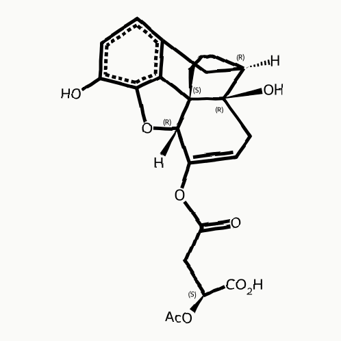 CC(=O)O[C@@H](CC(=O)OC1=CC[C@@]2(O)[C@@H]3CCC[C@@]24c2c(ccc(O)c2O[C@@H]14)C3)C(=O)O